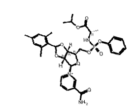 Cc1cc(C)c(C2O[C@@H]3[C@@H](COP(=O)(N[C@@H](C)C(=O)OC(C)C)Oc4ccccc4)OC([n+]4cccc(C(N)=O)c4)[C@@H]3O2)c(C)c1